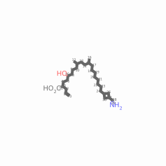 C=CCC(CCC(O)CCCC(C)CCC(C)CCCCCCCCC1CC(CN)C1)C(=O)O